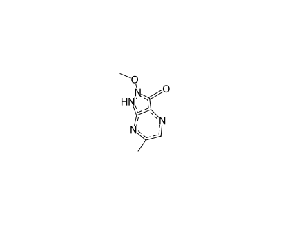 COn1[nH]c2nc(C)cnc2c1=O